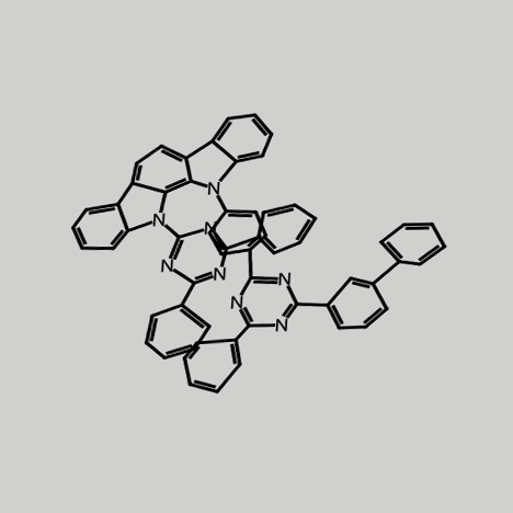 c1ccc(-c2cccc(-c3nc(-c4ccccc4)nc(-c4ccc(-n5c6ccccc6c6ccc7c8ccccc8n(-c8nc(-c9ccccc9)nc(-c9ccccc9)n8)c7c65)cc4)n3)c2)cc1